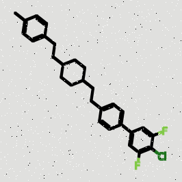 Cc1ccc(CCC2CCC(CCc3ccc(-c4cc(F)c(Cl)c(F)c4)cc3)CC2)cc1